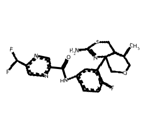 CC1COCC2(c3cc(NC(=O)c4cnc(C(F)F)cn4)ccc3F)N=C(N)SCC12